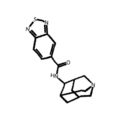 O=C(NC1C2CC3CC1CN(C3)C2)c1ccc2nsnc2c1